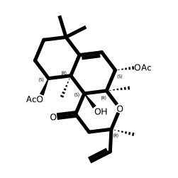 C=C[C@@]1(C)CC(=O)[C@@]2(O)[C@](C)(O1)[C@@H](OC(C)=O)C=C1C(C)(C)CC[C@H](OC(C)=O)[C@@]12C